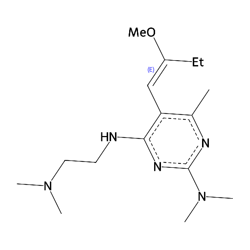 CC/C(=C\c1c(C)nc(N(C)C)nc1NCCN(C)C)OC